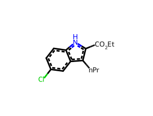 CCCc1c(C(=O)OCC)[nH]c2ccc(Cl)cc12